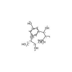 CC(N)C(O)c1cccc(O)c1.O=C(O)[C@H](O)[C@@H](O)C(=O)O